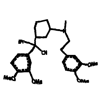 COc1ccc(CCN(C)C2CCCC(C(C#N)(c3ccc(OC)c(OC)c3)C(C)C)C2)cc1OC